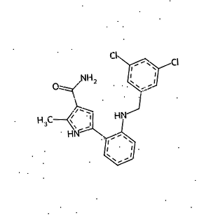 Cc1[nH]c(-c2ccccc2NCc2cc(Cl)cc(Cl)c2)cc1C(N)=O